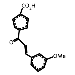 COc1cccc(C=CC(=O)c2ccc(C(=O)O)cc2)c1